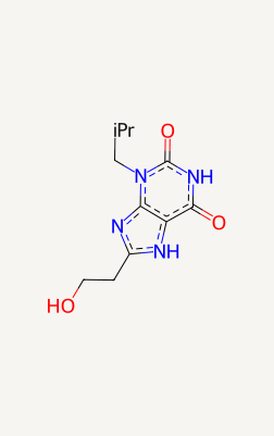 CC(C)Cn1c(=O)[nH]c(=O)c2[nH]c(CCO)nc21